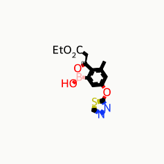 CCOC(=O)C[C@@H]1OB(O)c2cc(Oc3nncs3)cc(C)c21